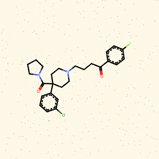 O=C(CCCN1CCC(C(=O)N2CCCC2)(c2cccc(Cl)c2)CC1)c1ccc(F)cc1